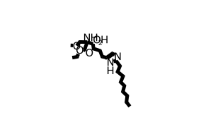 CCCCCCCCCc1ncc(CCCC(O)C(N)(COC)C(=O)OCC)[nH]1